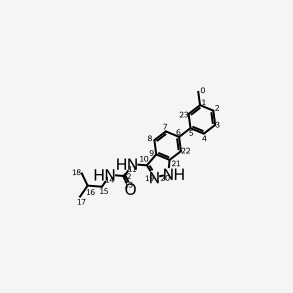 Cc1cccc(-c2ccc3c(NC(=O)NCC(C)C)n[nH]c3c2)c1